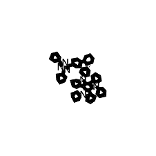 c1ccc(-c2nc(-c3ccccc3)nc(-c3ccc(C4CCCC[C@@H]4c4ccc(-n5c6ccccc6c6c7c(c8ccccc8n7-c7ccccc7)c7c(c8ccccc8n7-c7ccccc7)c65)cc4)cc3)n2)cc1